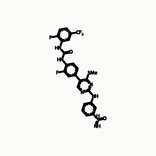 CSc1nc(Nc2cccc([SH](=N)=O)c2)ncc1-c1ccc(NC(=O)Nc2cc(C(F)(F)F)ccc2F)c(F)c1